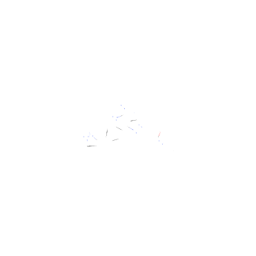 Nc1nc2cc(-c3cc[nH]n3)ccc2c2nn(CCC(=O)NC3CCC3)cc12